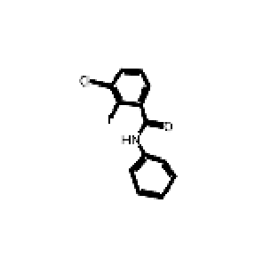 O=C(Nc1ccccc1)c1cccc(Cl)c1I